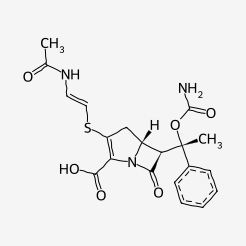 CC(=O)NC=CSC1=C(C(=O)O)N2C(=O)[C@H]([C@](C)(OC(N)=O)c3ccccc3)[C@H]2C1